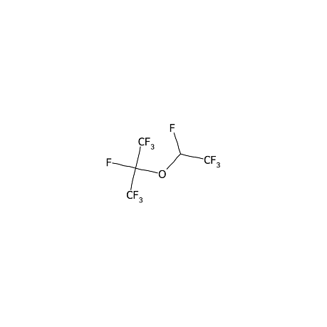 FC(OC(F)(C(F)(F)F)C(F)(F)F)C(F)(F)F